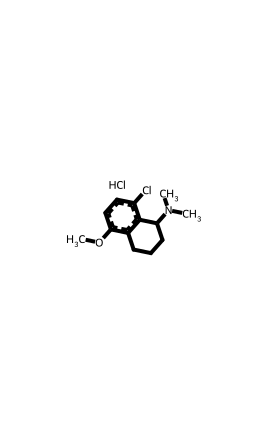 COc1ccc(Cl)c2c1CCCC2N(C)C.Cl